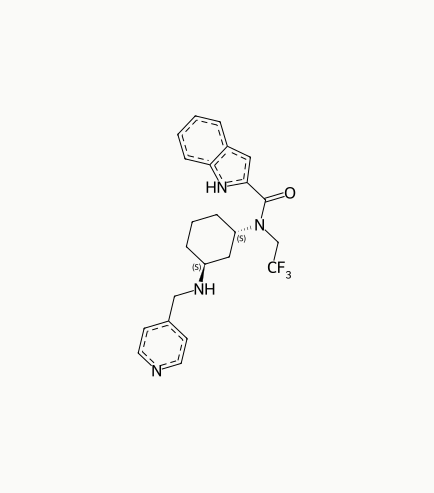 O=C(c1cc2ccccc2[nH]1)N(CC(F)(F)F)[C@H]1CCC[C@H](NCc2ccncc2)C1